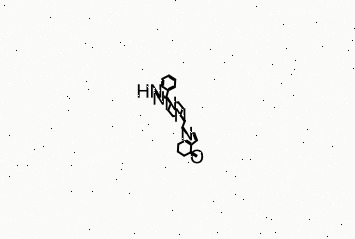 O=C1CCCc2c1ccn2CCN1CCN(c2n[nH]c3ccccc23)CC1